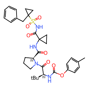 Cc1ccc(OC(=O)N[C@H](C(=O)N2CCC[C@H]2C(=O)NC2(C(=O)NS(=O)(=O)C3(Cc4ccccc4)CC3)CC2)C(C)(C)C)cc1